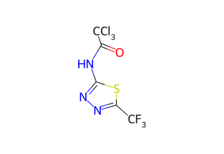 O=C(Nc1nnc(C(F)(F)F)s1)C(Cl)(Cl)Cl